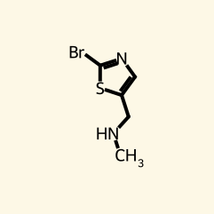 CNCc1cnc(Br)s1